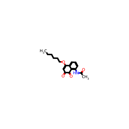 CCCCCCOC1=CC(=O)C(=O)c2c(NC(C)=O)cccc21